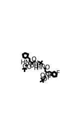 CC(C)(CNC(=O)CC(Cc1cc(F)ccc1F)NC(=O)OC(C)(C)C)CNC(=O)C(O)C(Cc1ccccc1)NC(=O)OC(C)(C)C